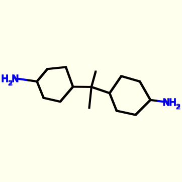 CC(C)(C1CCC(N)CC1)C1CCC(N)CC1